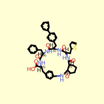 O=C(O)[C@@H]1Cc2ccc(cc2)NC(=O)[C@@H]2CCCC[C@@H]2C(=O)N[C@H](CC2CC=CS2)C(=O)N[C@@H](Cc2ccc(-c3ccccc3)cc2)C(=O)N[C@H](Cc2ccccc2)C(=O)N1